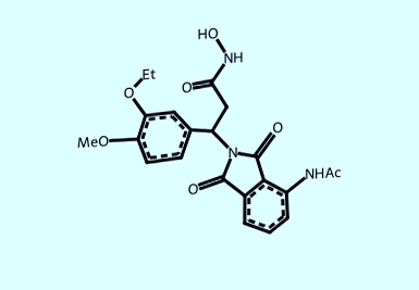 CCOc1cc(C(CC(=O)NO)N2C(=O)c3cccc(NC(C)=O)c3C2=O)ccc1OC